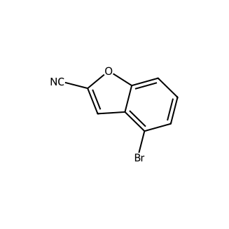 N#Cc1cc2c(Br)cccc2o1